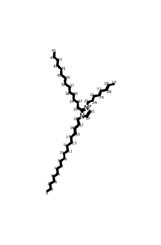 CCCCCCCCCCCCCCCCCCCn1cc[n+](CCCCCCCC)c1CCCCCCCCCCCCCC